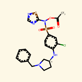 O=C(ON(c1ncns1)S(=O)(=O)c1ccc(N[C@H]2CCN(Cc3ccccc3)C2)c(Cl)c1)C(F)(F)F